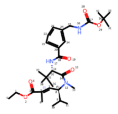 CCOC(=O)/C(C)=C/[C@H](C(C)C)N(C)C(=O)[C@@H](NC(=O)c1cccc(CNC(=O)OC(C)(C)C)c1)C(C)(C)C